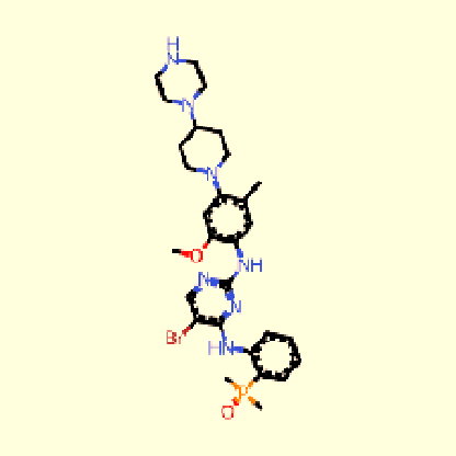 COc1cc(N2CCC(N3CCNCC3)CC2)c(C)cc1Nc1ncc(Br)c(Nc2ccccc2P(C)(C)=O)n1